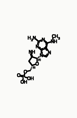 CNc1nc(N)nc2c1ncn2[C@@H]1O[C@H](COP(=O)(O)O)CC1=N